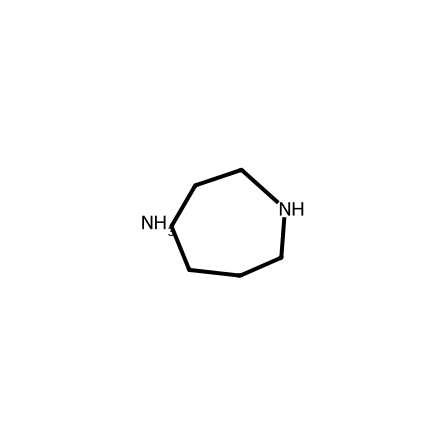 C1CCCNCC1.N